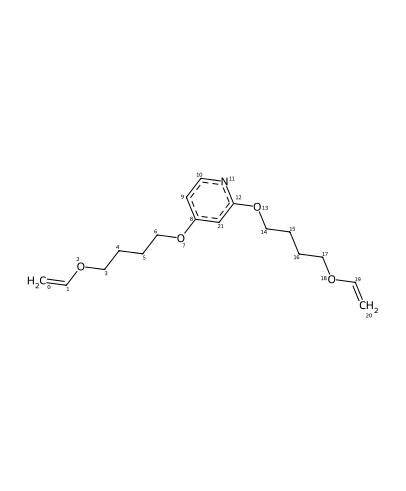 C=COCCCCOc1ccnc(OCCCCOC=C)c1